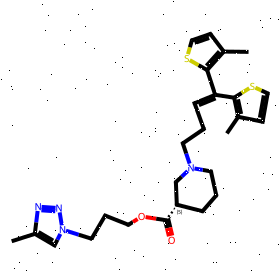 Cc1cn(CCCOC(=O)[C@H]2CCCN(CCC=C(c3sccc3C)c3sccc3C)C2)nn1